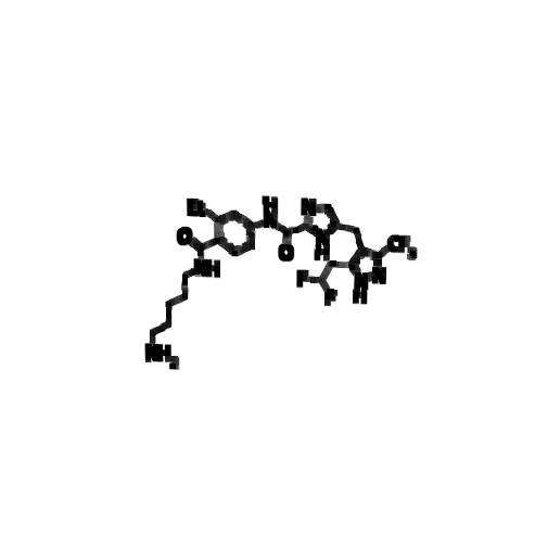 CCc1cc(NC(=O)c2ncc(Cc3c(C(F)(F)F)n[nH]c3CC(F)F)[nH]2)ccc1C(=O)NCCCCCN